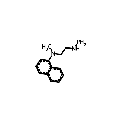 CN(CCNP)c1cccc2ccccc12